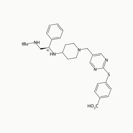 CC(C)(C)NC[C@H](NC1CCN(Cc2cnc(Sc3ccc(C(=O)O)cc3)nc2)CC1)c1ccccc1